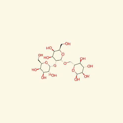 OC[C@H]1O[C@H](O[C@H]2[C@@H](OC[C@H]3O[C@H](O)[C@H](O)[C@@H](O)[C@@H]3O)O[C@H](CO)[C@H](O)[C@@H]2O)[C@H]([16OH])[C@@H](O)[C@H]1O